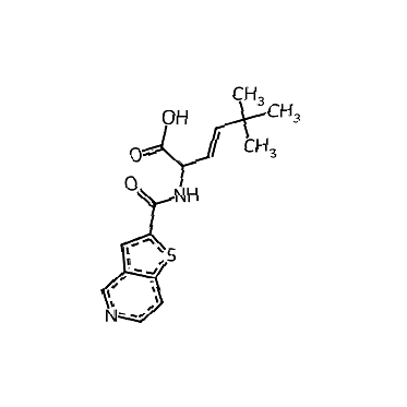 CC(C)(C)/C=C/C(NC(=O)c1cc2cnccc2s1)C(=O)O